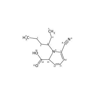 CCCC(CC)N1C(C#N)=CC=CC1C(=O)O